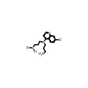 CCN(CC)CCCN(CCCN)c1ccnc2cc(Cl)ccc12